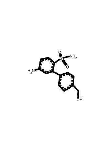 Nc1ccc(S(N)(=O)=O)c(-c2ccc(CO)cc2)c1